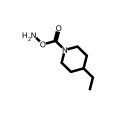 CCC1CCN(C(=O)ON)CC1